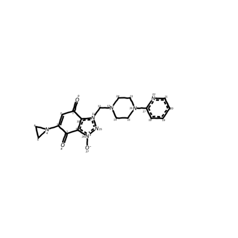 O=C1C=C(N2CC2)C(=O)c2c1n(CN1CCN(c3ccccn3)CC1)n[n+]2[O-]